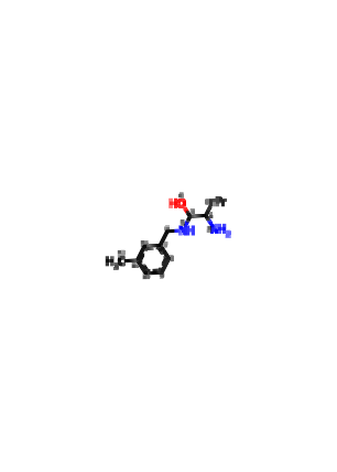 CCCC(N)C(O)NCc1cccc(C)c1